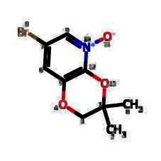 CC1(C)COc2cc(Br)c[n+]([O-])c2O1